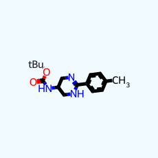 Cc1ccc(C2=NCC(NC(=O)OC(C)(C)C)CN2)cc1